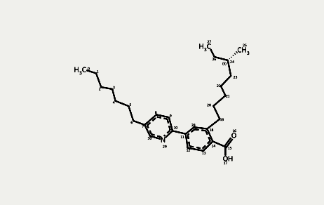 CCCCCCCc1ccc(-c2ccc(C(=O)O)c(CCCCC[C@@H](C)CC)c2)nc1